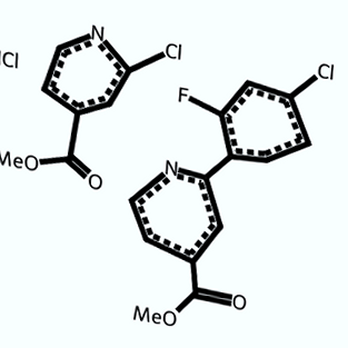 COC(=O)c1ccnc(-c2ccc(Cl)cc2F)c1.COC(=O)c1ccnc(Cl)c1.Cl